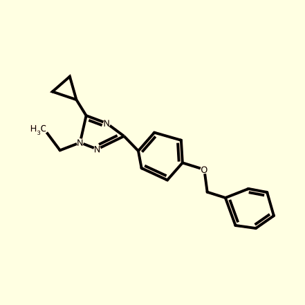 CCn1nc(-c2ccc(OCc3ccccc3)cc2)nc1C1CC1